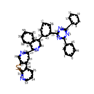 c1ccc(-c2nc(-c3ccccc3)nc(-c3cccc(-c4cnc(-c5cc6c(cn5)sc5ncccc56)c5ccccc45)c3)n2)cc1